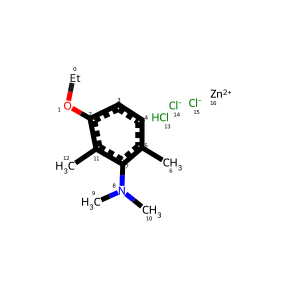 CCOc1ccc(C)c(N(C)C)c1C.Cl.[Cl-].[Cl-].[Zn+2]